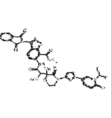 CC(=O)OC(C(=O)Nc1ccc2c(N3C(=O)c4ccccc4C3=O)nsc2c1C(N)=O)C1(C)OCCN(c2ccn(-c3ccc(=O)n(C(F)F)c3)n2)C1=O